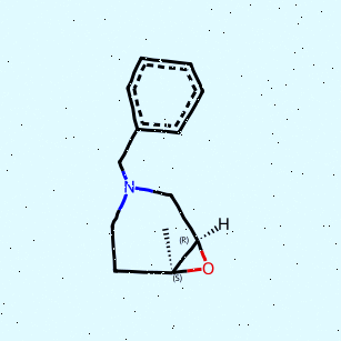 C[C@]12CCN(Cc3ccccc3)C[C@H]1O2